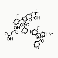 CC(C)(C)CN(Cc1cc(-c2ccncc2F)n(S(=O)(=O)c2cccnc2)c1)C(=O)O.CNCc1cc(-c2ccncc2F)n(S(=O)(=O)c2cccnc2)c1.O=C(O)C=CC(=O)O